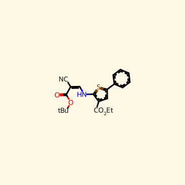 CCOC(=O)c1cc(-c2ccccc2)sc1NC=C(C#N)C(=O)OC(C)(C)C